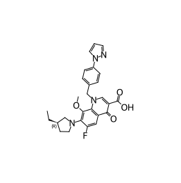 CC[C@@H]1CCN(c2c(F)cc3c(=O)c(C(=O)O)cn(Cc4ccc(-n5cccn5)cc4)c3c2OC)C1